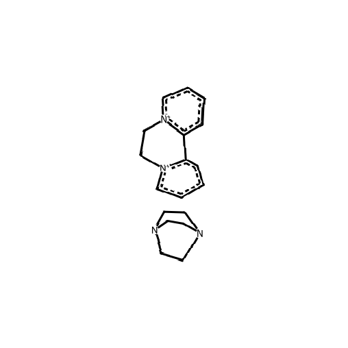 C1CN2CCN1CC2.c1cc[n+]2c(c1)-c1cccc[n+]1CC2